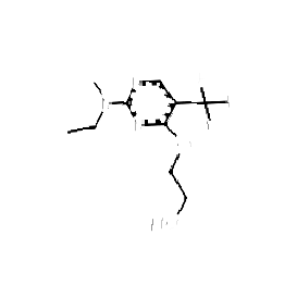 CCN(C)c1ncc(C(F)(F)F)c(OCCO)n1